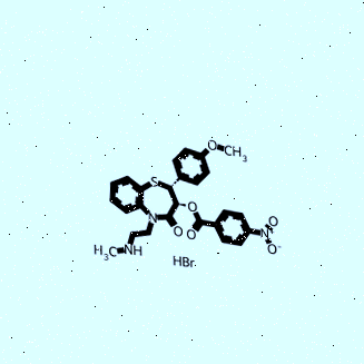 Br.CNCCN1C(=O)[C@@H](OC(=O)c2ccc([N+](=O)[O-])cc2)[C@@H](c2ccc(OC)cc2)Sc2ccccc21